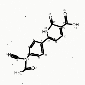 CC(=O)N(C#N)c1ccc(-c2ccc(C(=O)O)c(=O)[nH]2)cc1